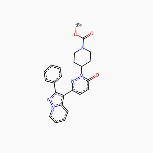 CC(C)(C)OC(=O)N1CCC(n2nc(-c3c(-c4ccccc4)nn4ccccc34)ccc2=O)CC1